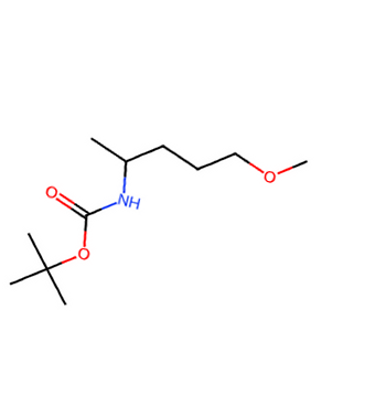 COCCCC(C)NC(=O)OC(C)(C)C